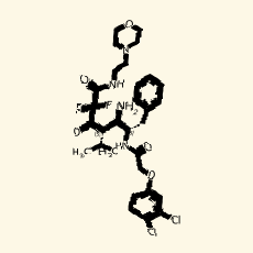 CC(C)[C@H](C(=O)C(F)(F)C(=O)NCCN1CCOCC1)C(N)[C@H](Cc1ccccc1)NC(=O)COc1ccc(Cl)c(Cl)c1